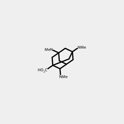 CNC1C2CC3(NC)CC(NC)(C2)CC1(C(=O)O)C3